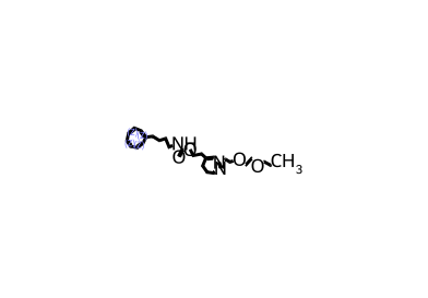 CCCOCCOCCN1C=C(CCOC(=O)NCCCCC2=C/C=C\C=C/C=C\2)CCC=N1